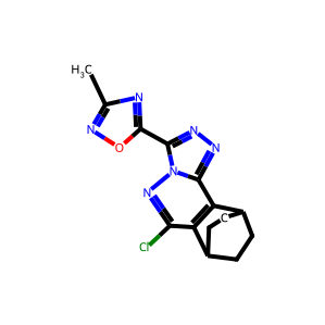 Cc1noc(-c2nnc3c4c(c(Cl)nn23)C2CCC4CC2)n1